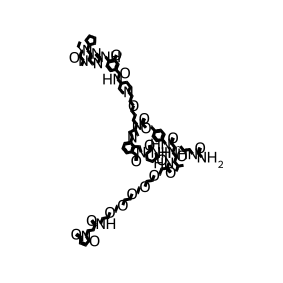 CC[C@@H]1C(=O)N(C)c2cnc(Nc3ccc(C(=O)NC4CCN(CCOCCCN(C(=O)OCc5ccc(NC(=O)[C@H](CCCNC(N)=O)NC(=O)[C@@H](NC(=O)CCOCCOCCOCCOCCOCCNC(=O)CCN6C(=O)C=CC6=O)C(C)C)cc5)C5CN(c6cccc7c6CN(C6CCC(=O)NC6=O)C7=O)C5)CC4)cc3OC)nc2N1C1CCCC1